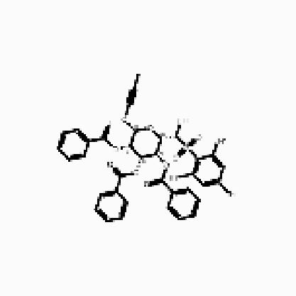 CC#CO[C@H]1O[C@H](C(O)S(=O)(=O)c2c(C(C)C)cc(C(C)C)cc2C(C)C)[C@@H](OC(=O)c2ccccc2)[C@H](OC(=O)c2ccccc2)[C@@H]1OC(=O)c1ccccc1